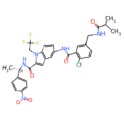 CC(C)C(=O)NCc1ccc(Cl)c(C(=O)Nc2ccc3c(c2)cc(C(=O)N[C@@H](C)c2ccc([N+](=O)[O-])cc2)n3CC(F)(F)F)c1